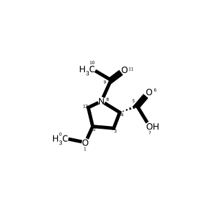 COC1C[C@@H](C(=O)O)N(C(C)=O)C1